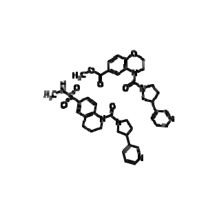 CNS(=O)(=O)c1ccc2c(c1)CCCN2C(=O)N1CCC(c2cccnc2)C1.COC(=O)c1ccc2c(c1)N(C(=O)N1CCC(c3cccnc3)C1)CCO2